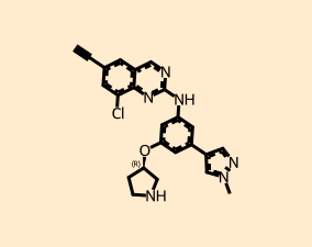 C#Cc1cc(Cl)c2nc(Nc3cc(O[C@@H]4CCNC4)cc(-c4cnn(C)c4)c3)ncc2c1